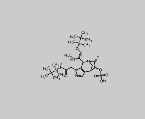 CN/C(=N\O[Si](C)(C)C(C)(C)C)C1c2c(cnn2CC(=O)N[Si](C)(C)C(C)(C)C)C2CN1C(=O)N2OS(=O)(=O)O